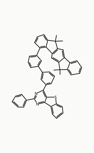 CC1(C)c2ccccc2-c2cc3c(cc21)-c1c(-c2cccc(-c4cccc(-c5nc(-c6ccccc6)nc6c5sc5ccccc56)c4)c2)cccc1C3(C)C